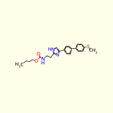 CCCCOC(=O)NCCc1nc(-c2ccc(-c3ccc(SC)cc3)cc2)c[nH]1